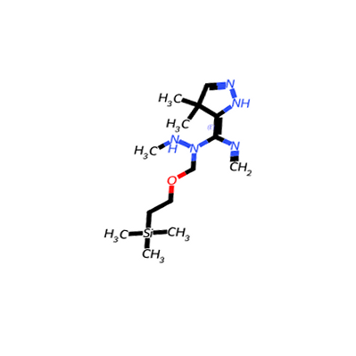 C=N/C(=C1\NN=CC1(C)C)N(COCC[Si](C)(C)C)NC